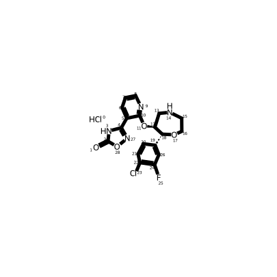 Cl.O=c1[nH]c(-c2cccnc2O[C@H]2CNCCO[C@@H]2c2ccc(Cl)c(F)c2)no1